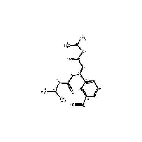 CC(C)OC(=O)CN(CC(=O)OC(C)C)c1cccc(C=O)c1